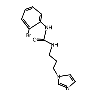 O=C(NCCCn1ccnc1)Nc1ccccc1Br